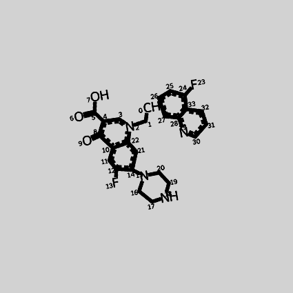 CCn1cc(C(=O)O)c(=O)c2cc(F)c(N3CCNCC3)cc21.Fc1cccc2ncccc12